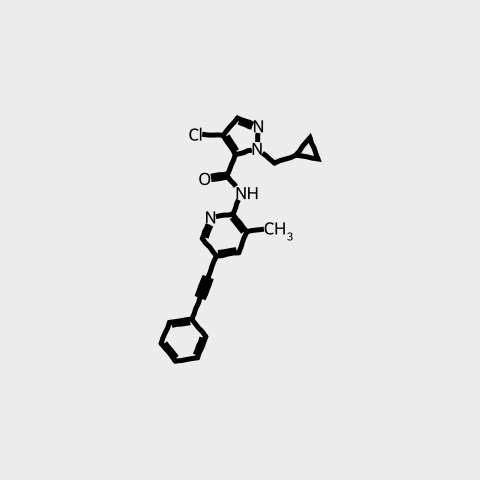 Cc1cc(C#Cc2ccccc2)cnc1NC(=O)c1c(Cl)cnn1CC1CC1